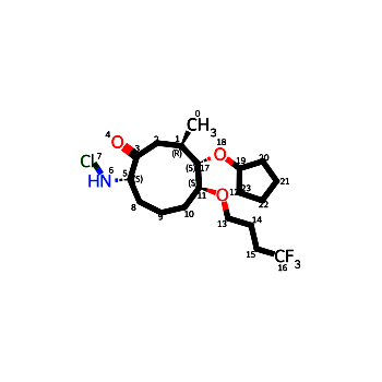 C[C@@H]1CC(=O)[C@@H](NCl)CCC[C@H](OCCCC(F)(F)F)[C@H]1OC1CCCC1